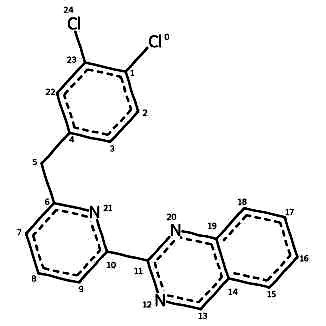 Clc1ccc(Cc2cccc(-c3ncc4ccccc4n3)n2)cc1Cl